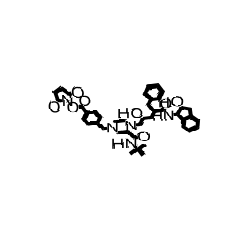 CC(C)(C)NC(=O)C1CN(Cc2ccc(C(=O)ON3C(=O)CCC3=O)cc2)CCN1CC(O)CC(Cc1ccccc1)C(=O)NC1c2ccccc2CC1O